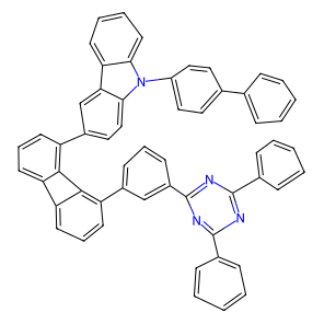 c1ccc(-c2ccc(-n3c4ccccc4c4cc(-c5cccc6c5-c5c(-c7cccc(-c8nc(-c9ccccc9)nc(-c9ccccc9)n8)c7)cccc5-6)ccc43)cc2)cc1